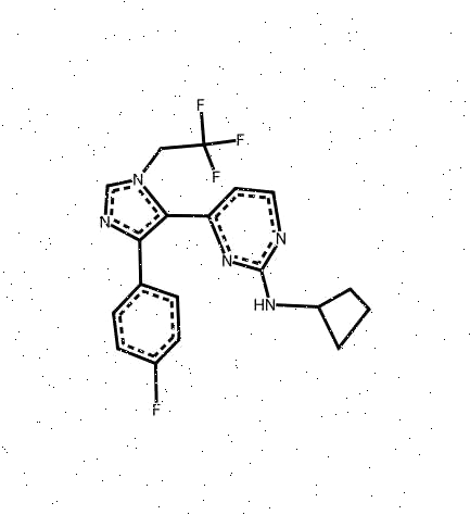 Fc1ccc(-c2ncn(CC(F)(F)F)c2-c2ccnc(NC3CCC3)n2)cc1